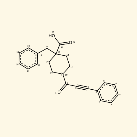 O=C(C#Cc1ccccc1)N1CCC(Cc2ccccc2)(C(=O)O)CC1